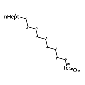 CCCCCCCCCCCCCCCC[Te]=O